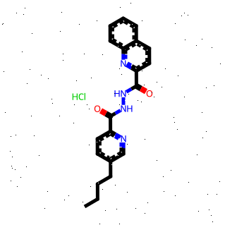 CCCCc1ccc(C(=O)NNC(=O)c2ccc3ccccc3n2)nc1.Cl